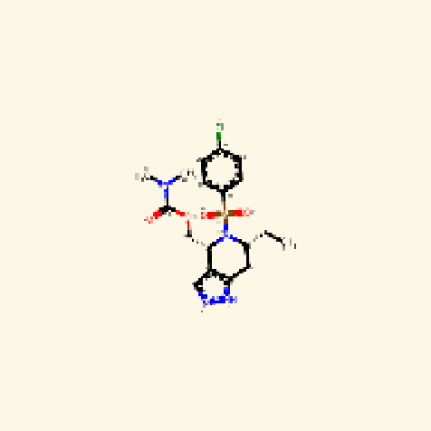 CC[C@@H]1Cc2[nH]ncc2[C@H](COC(=O)N(C)C)N1S(=O)(=O)c1ccc(Cl)cc1